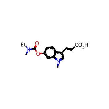 CCN(C)C(=O)Oc1ccc2c(C=CC(=O)O)cn(C)c2c1